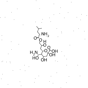 CC(C)C[C@H](N)C(=O)OC[C@@H](O)CC1OC(O)(C(=O)O)CC(O)C1[C@@H](N)O